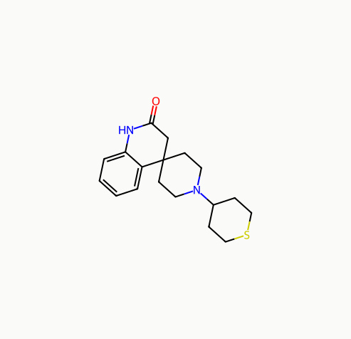 O=C1CC2(CCN(C3CCSCC3)CC2)c2ccccc2N1